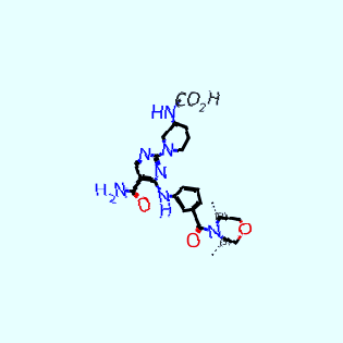 C[C@@H]1COC[C@H](C)N1C(=O)c1cccc(Nc2nc(N3CCCC(NC(=O)O)C3)ncc2C(N)=O)c1